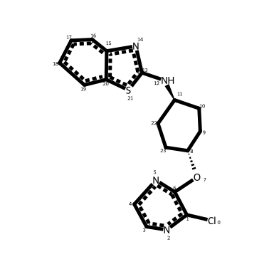 Clc1nccnc1O[C@H]1CC[C@H](Nc2nc3ccccc3s2)CC1